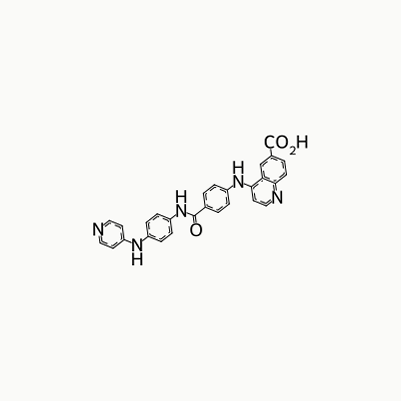 O=C(O)c1ccc2nccc(Nc3ccc(C(=O)Nc4ccc(Nc5ccncc5)cc4)cc3)c2c1